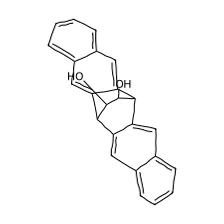 OC1C2c3cc4ccccc4cc3C(c3cc4ccccc4cc32)C1O